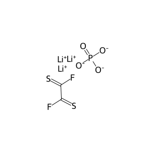 FC(=S)C(F)=S.O=P([O-])([O-])[O-].[Li+].[Li+].[Li+]